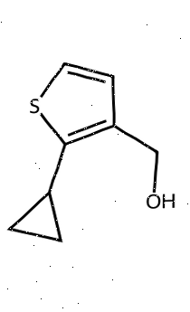 OCc1ccsc1C1CC1